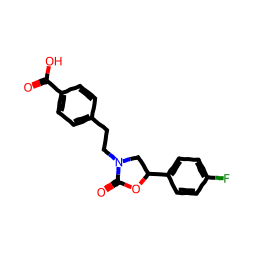 O=C(O)c1ccc(CCN2CC(c3ccc(F)cc3)OC2=O)cc1